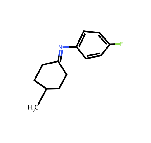 CC1CCC(=Nc2ccc(F)cc2)CC1